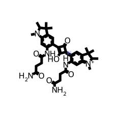 CC1N(C)c2cc(NC(=O)CCC(N)=O)c(C3=C(O)/C(=c4/cc5c(cc4NC(=O)CCC(N)=O)=[N+](C)C(C)C5(C)C)C3=O)cc2C1(C)C